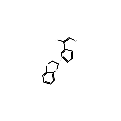 N/C(=N/O)c1cccc([C@H]2COc3ccccc3O2)c1